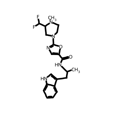 CC(Cc1c[nH]c2ccccc12)NC(=O)c1cnc(N2CCN(C)C(C(F)F)C2)o1